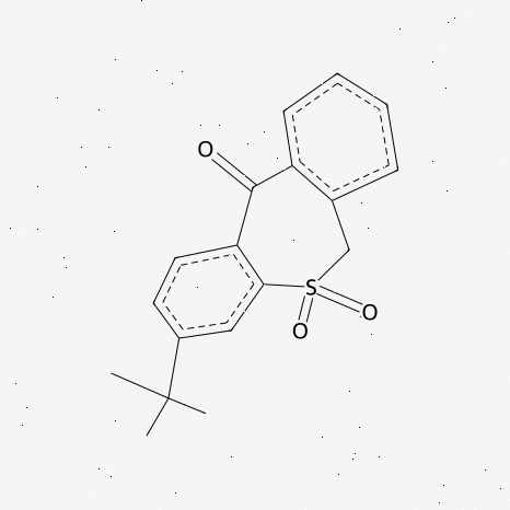 CC(C)(C)c1ccc2c(c1)S(=O)(=O)Cc1ccccc1C2=O